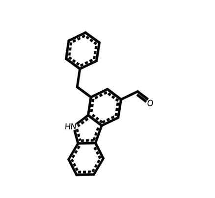 O=Cc1cc(Cc2ccccc2)c2[nH]c3ccccc3c2c1